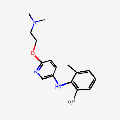 Cc1cccc([N+](=O)[O-])c1Nc1ccc(OCCN(C)C)nc1